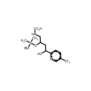 CC(C)(C)[Si](C)(C)OC(CNC(=O)O)CC(O)c1ccc(C(F)(F)F)cn1